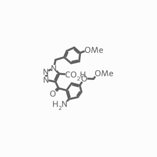 COCOc1ccc(N)c(C(=O)c2nnn(Cc3ccc(OC)cc3)c2C(=O)O)c1